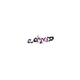 CC1(C)CN(C[C@H](O)CN2CCc3ccccc3C2)C(=O)c2ccc(CN3CCCC3)cc2O1